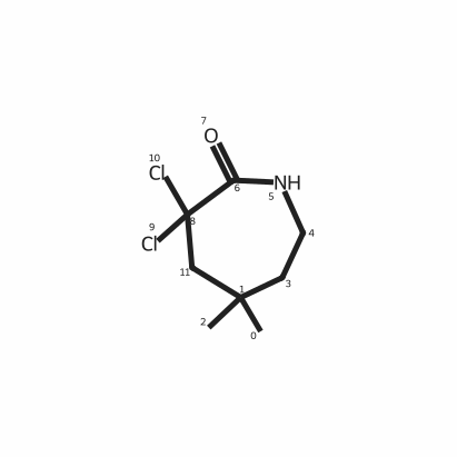 CC1(C)CCNC(=O)C(Cl)(Cl)C1